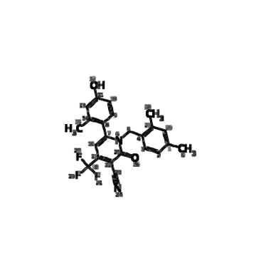 Cc1ccc(Cn2c(-c3ccc(O)cc3C)cc(C(F)(F)F)c(C#N)c2=O)c(C)c1